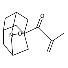 C=C(C)C(=O)C12CC3CC(C1)N([O])C(C3)C2